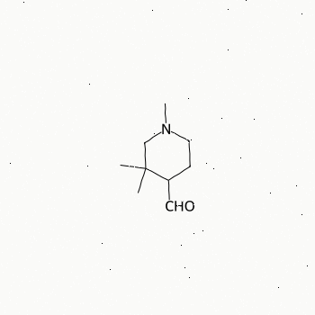 CN1CCC(C=O)C(C)(C)C1